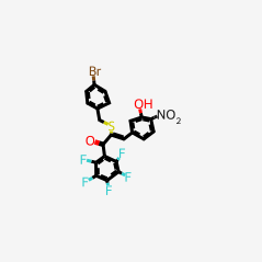 O=C(C(=Cc1ccc([N+](=O)[O-])c(O)c1)SCc1ccc(Br)cc1)c1c(F)c(F)c(F)c(F)c1F